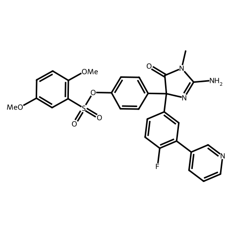 COc1ccc(OC)c(S(=O)(=O)Oc2ccc(C3(c4ccc(F)c(-c5cccnc5)c4)N=C(N)N(C)C3=O)cc2)c1